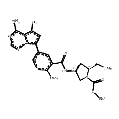 COC[C@@H]1C[C@H](NC(=O)c2cc(-c3cc(C(F)(F)F)c4c(N)ncnn34)cnc2OC)CN1C(=O)OC(C)(C)C